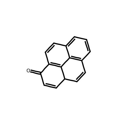 O=C1C=CC2C=Cc3cccc4ccc1c2c34